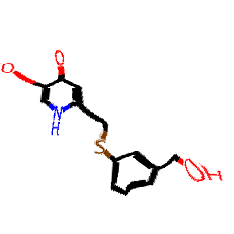 O=c1cc(CSc2cccc(CO)c2)[nH]cc1O